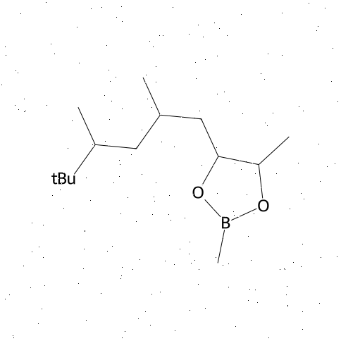 CB1OC(C)C(CC(C)CC(C)C(C)(C)C)O1